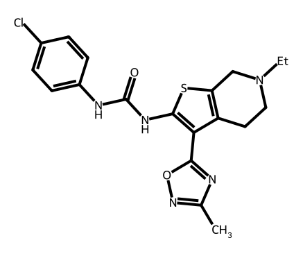 CCN1CCc2c(sc(NC(=O)Nc3ccc(Cl)cc3)c2-c2nc(C)no2)C1